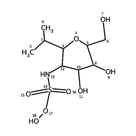 CC(C)C1OC(CO)C(O)C(O)C1NS(=O)(=O)OO